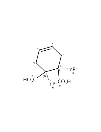 CCC[C@]1(C(=O)O)CC=CC[C@@]1(CCC)C(=O)O